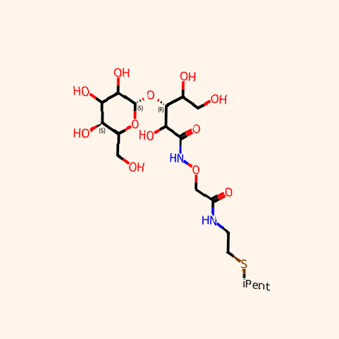 CCCC(C)SCCNC(=O)CONC(=O)C(O)[C@H](O[C@@H]1OC(CO)[C@@H](O)C(O)C1O)C(O)CO